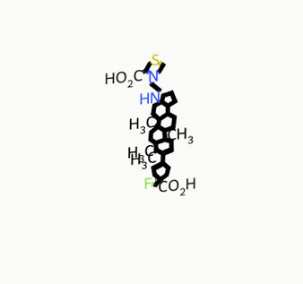 CC1(C)C(C2=CC[C@@](CF)(C(=O)O)CC2)=CCC2(C)C1CCC1(C)C3CCC4(NCCN5CCSCC5C(=O)O)CCCC4C3CCC12